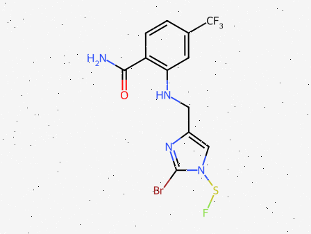 NC(=O)c1ccc(C(F)(F)F)cc1NCc1cn(SF)c(Br)n1